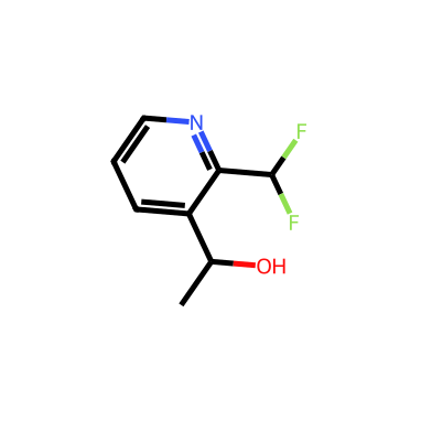 CC(O)c1cccnc1C(F)F